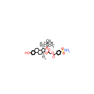 CC(C)(C)[Si](C)(C)OC1CC2C3CCc4cc(O)ccc4C3CC[C@]2(C)[C@H]1OC(=O)COC(=O)c1ccc(S(N)(=O)=O)cc1